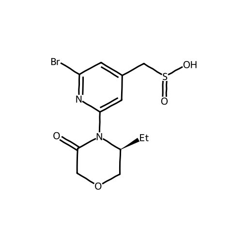 CC[C@H]1COCC(=O)N1c1cc(CS(=O)O)cc(Br)n1